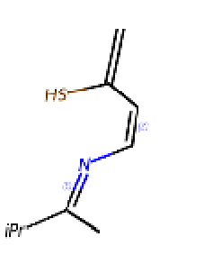 C=C(S)/C=C\N=C(/C)C(C)C